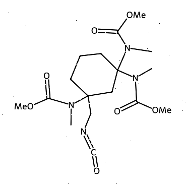 COC(=O)N(C)C1(CN=C=O)CCCC(N(C)C(=O)OC)(N(C)C(=O)OC)C1